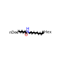 CCCCCC/C=C\CCCCCCCCNC(=O)CCCCCCCCCCCCCCC